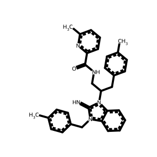 Cc1ccc(CC(CNC(=O)c2cccc(C)n2)n2c(=N)n(Cc3ccc(C)cc3)c3ccccc32)cc1